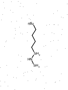 CCCCCCCC[SiH2]N[SiH3]